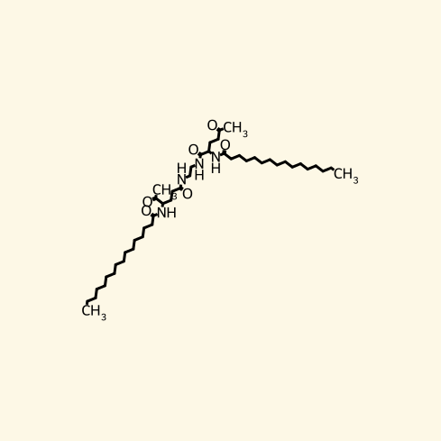 CCCCCCCCCCCCCCCC(=O)NC(CCC(=O)NCCNC(=O)C(CCC(C)=O)NC(=O)CCCCCCCCCCCCCCC)C(C)=O